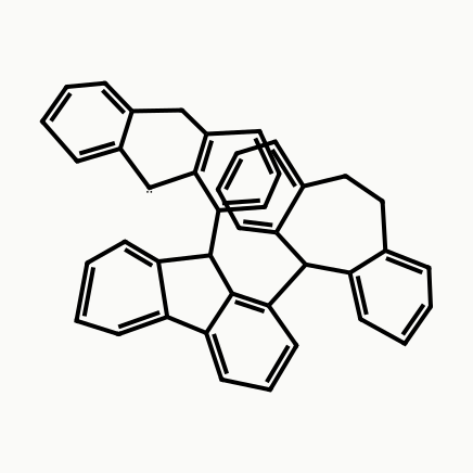 [C]1c2ccccc2Cc2cccc(C3c4ccccc4-c4cccc(C5c6ccccc6CCc6ccccc65)c43)c21